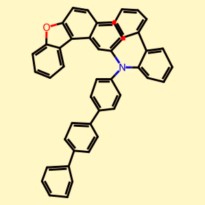 c1ccc(-c2ccc(-c3ccc(N(c4ccc5ccc6oc7ccccc7c6c5c4)c4ccccc4-c4ccccc4)cc3)cc2)cc1